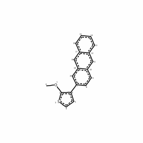 COc1sccc1-c1ccc2cc3ccccc3cc2c1